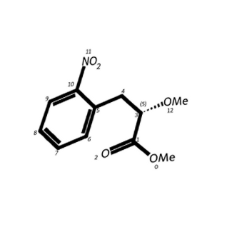 COC(=O)[C@H](Cc1ccccc1[N+](=O)[O-])OC